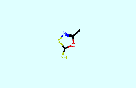 CC1=NSC(S)O1